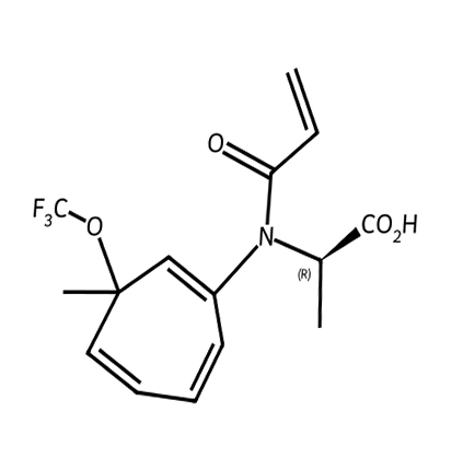 C=CC(=O)N(C1=CC(C)(OC(F)(F)F)C=CC=C1)[C@H](C)C(=O)O